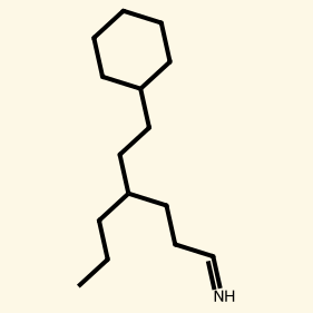 CCCC(CCC=N)CCC1CCCCC1